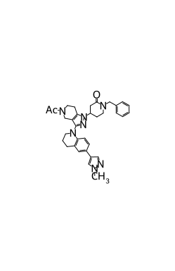 CC(=O)N1CCc2c(c(N3CCCc4cc(-c5cnn(C)c5)ccc43)nn2C2CCN(Cc3ccccc3)C(=O)C2)C1